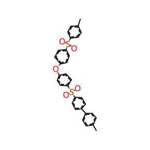 Cc1ccc(-c2ccc(S(=O)(=O)c3ccc(Oc4ccc(S(=O)(=O)c5ccc(C)cc5)cc4)cc3)cc2)cc1